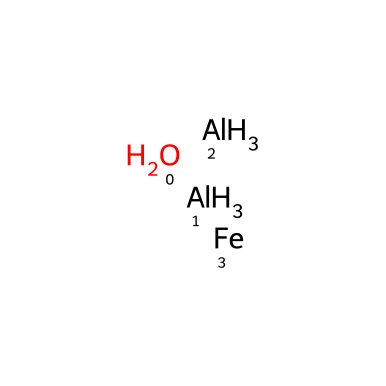 O.[AlH3].[AlH3].[Fe]